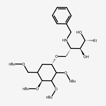 CCCCOCC1C[C@H](OC[C@H](NCc2ccccc2)[C@H](O)[C@H](O)CC)C(OCCCC)C(OCCCC)[C@H]1OCCCC